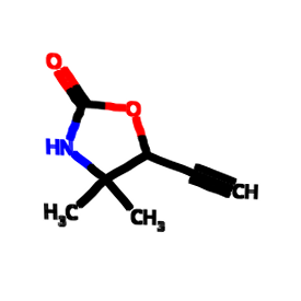 C#CC1OC(=O)NC1(C)C